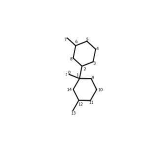 [CH]C1(C2CCCC(C)C2)CCCC(C)C1